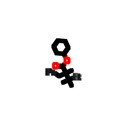 CCC(C)(C)C(C)(CC(C)C)C(=O)OC1CCCCC1